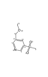 CS(=O)(=O)c1cncc(COI)c1